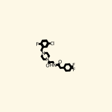 O=C(CC1CCC(F)(F)CC1)NCC(=O)N1CCN(Cc2cc(Cl)ccc2F)CC1